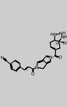 N#Cc1ccc(/C=C/C(=O)N2C=C3C=[N+](C(=O)C4=CCC5NNN[C@@H]5C4)C=C3C2)cc1